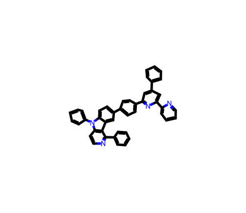 c1ccc(-c2cc(-c3ccc(-c4ccc5c(c4)c4c(-c6ccccc6)nccc4n5-c4ccccc4)cc3)nc(-c3ccccn3)c2)cc1